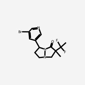 CC(F)(F)C1(C)CN2CCC(c3cncc(Br)c3)N2C1=O